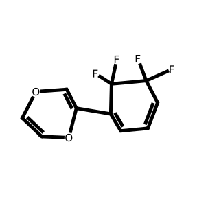 FC1(F)C=CC=C(C2=COC=[C]O2)C1(F)F